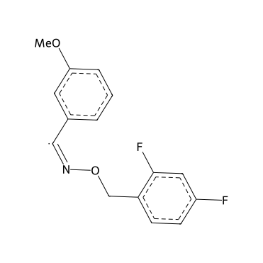 COc1cccc(/[C]=N\OCc2ccc(F)cc2F)c1